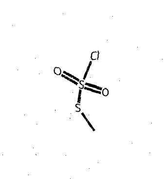 CSS(=O)(=O)Cl